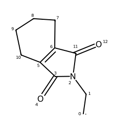 [CH2]CN1C(=O)C2=C(CCCC2)C1=O